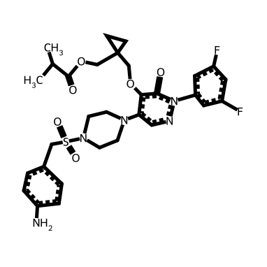 CC(C)C(=O)OCC1(COc2c(N3CCN(S(=O)(=O)Cc4ccc(N)cc4)CC3)cnn(-c3cc(F)cc(F)c3)c2=O)CC1